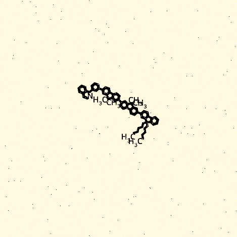 CCCCCCC1(CCCCCC)c2ccccc2-c2ccc(-c3ccc4c(c3)C(C)(C)c3cc(-c5ccc6c(c5)C(C)(C)c5cc(-c7cccc(-c8nccc9ccccc89)c7)ccc5-6)ccc3-4)cc21